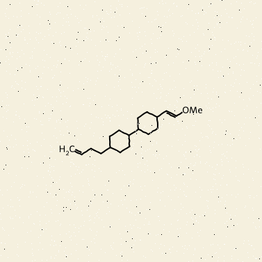 C=CCCC1CCC(C2CCC(C=COC)CC2)CC1